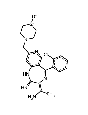 C/C(N)=C1\N=C(c2ccccc2Cl)c2cnc(CN3CC[S+]([O-])CC3)cc2NC1=N